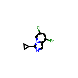 Clc1cc(Br)c2cnc(C3CC3)n2c1